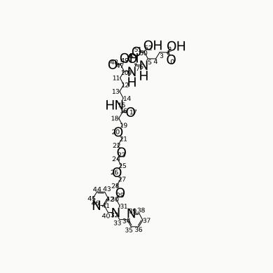 O=C(O)CCC(NC(=O)NC(CCCCNC(=O)CCOCCOCCOCCOCCN(Cc1ccccn1)Cc1ccccn1)C(=O)O)C(=O)O